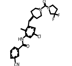 Cc1c(C=C2CCN(C(=O)N3CCC(F)(F)C3)CC2)cc(Cl)cc1NC(=O)c1cccc(C#N)c1